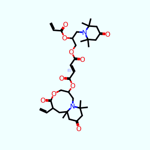 C=CC(=O)OC(COC(=O)/C=C/C(=O)OC1COC(=O)C(C=C)CC2(C)CC(=O)CC(C)(C)N2C1)CN1C(C)(C)CC(=O)CC1(C)C